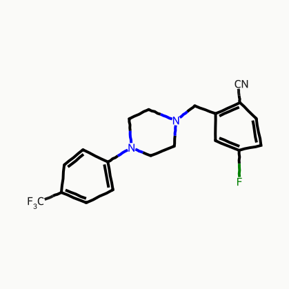 N#Cc1ccc(F)cc1CN1CCN(c2ccc(C(F)(F)F)cc2)CC1